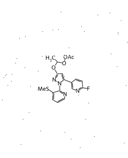 CSc1cccnc1-n1nc(OC(C)OOC(C)=O)cc1-c1ccc(F)nc1